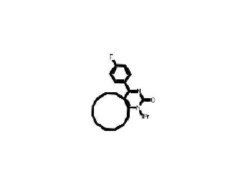 CC(C)n1c2c(c(-c3ccc(F)cc3)nc1=O)CCCCCCCCCC2